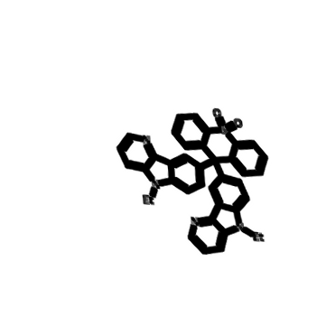 CCn1c2ccc(C3(c4ccc5c(c4)c4ncccc4n5CC)c4ccccc4S(=O)(=O)c4ccccc43)cc2c2ncccc21